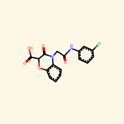 O=C(CN1C(=O)C(C(=O)O)Oc2ccccc21)Nc1cccc(Cl)c1